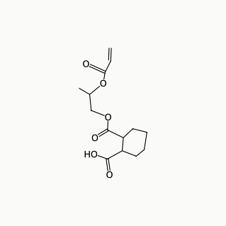 C=CC(=O)OC(C)COC(=O)C1CCCCC1C(=O)O